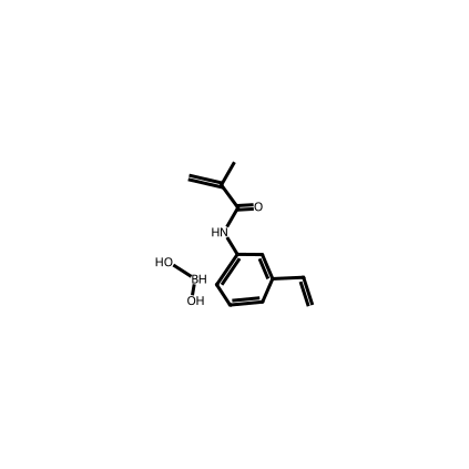 C=Cc1cccc(NC(=O)C(=C)C)c1.OBO